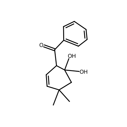 CC1(C)C=CC(C(=O)c2ccccc2)C(O)(O)C1